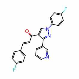 O=C(C=Cc1ccc(F)cc1)c1cn(-c2ccc(F)cc2)nc1-c1cccnc1